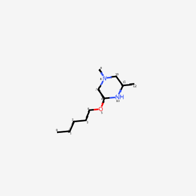 CCCCCOC1CN(C)CC(C)N1